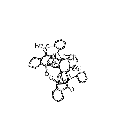 CC(=O)c1ccccc1C1n2c(=O)c3ccccc3c(=O)n2C(c2ccccc2C(=O)O)P1c1ccccc1P1C(c2ccccc2C(=O)O)n2c(=O)c3ccccc3c(=O)n2C1c1ccccc1C(=O)O